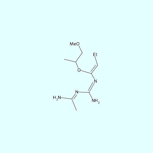 CC/C=C(/N=C(N)\N=C(/C)N)OC(C)COC